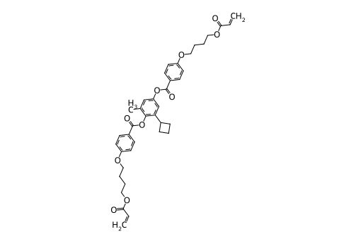 C=CC(=O)OCCCCOc1ccc(C(=O)Oc2cc(C)c(OC(=O)c3ccc(OCCCCOC(=O)C=C)cc3)c(C3CCC3)c2)cc1